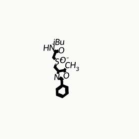 CCC(C)NC(=O)C[S+]([O-])CC1N=C(c2ccccc2)OC1C